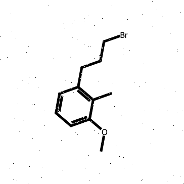 COc1cccc(CCCBr)c1C